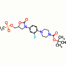 CC(C)(C)OC(=O)N1CCN(c2ccc(N3CC(COS(C)(=O)=O)OC3=O)cc2F)CC1